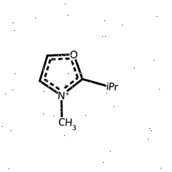 CC(C)c1occ[n+]1C